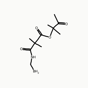 BCNC(=O)C(C)(C)C(=O)OC(C)(C)C(C)=O